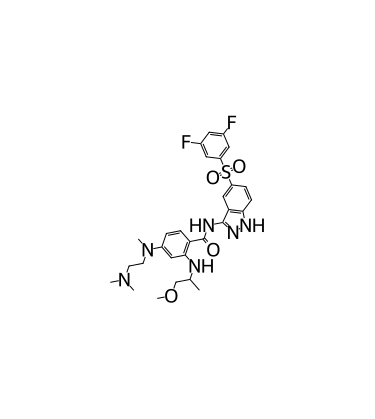 COCC(C)Nc1cc(N(C)CCN(C)C)ccc1C(=O)Nc1n[nH]c2ccc(S(=O)(=O)c3cc(F)cc(F)c3)cc12